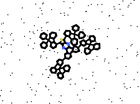 c1ccc(C2(c3ccccc3)c3ccccc3-c3c(-c4sc(-c5cccc6c5-c5ccccc5C6(c5ccccc5)c5ccccc5)c5nc6c7cc(-c8ccc9c(c8)C8(c%10ccccc%10-c%10ccccc%108)c8ccccc8-9)ccc7c7ccc(-c8ccc9c(c8)C8(c%10ccccc%10-c%10ccccc%108)c8ccccc8-9)cc7c6nc45)cccc32)cc1